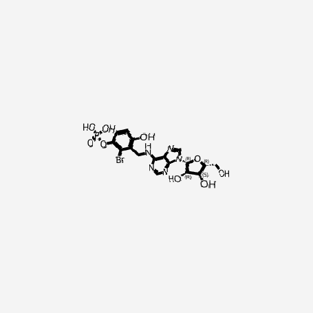 O=P(O)(O)Oc1ccc(O)c(CNc2ncnc3c2ncn3[C@@H]2O[C@H](CO)[C@@H](O)[C@H]2O)c1Br